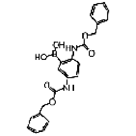 O=C(Nc1ccc(NC(=O)OCc2ccccc2)c(B(O)O)c1)OCc1ccccc1